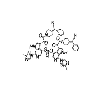 Cc1ncn(-c2ncc(OBOc3cnc(-n4cnc(C)n4)c4[nH]cc(C(=O)C(=O)N5CCC(=C(C#N)c6ccccc6)CC5)c34)c3c(C(=O)C(=O)N4CCC(=C(C#N)c5ccccc5)CC4)c[nH]c23)n1